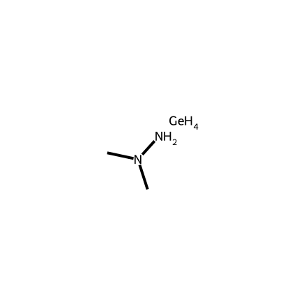 CN(C)N.[GeH4]